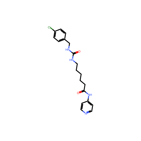 O=C(CCCCCNC(=O)NCc1ccc(Cl)cc1)Nc1ccncc1